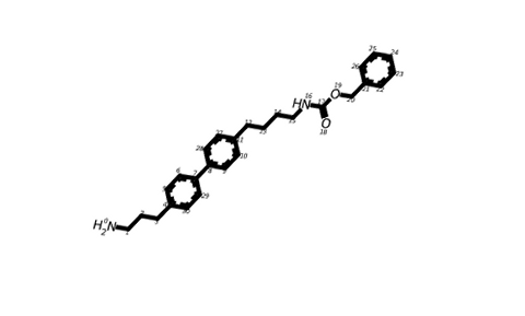 NCCCc1ccc(-c2ccc(CCCCNC(=O)OCc3ccccc3)cc2)cc1